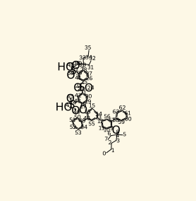 CCCCC(C)(CC)Oc1ccc(-c2ccc(Oc3ccc(S(=O)(=O)c4ccc(C(C)(CC)CCC)c(S(=O)(=O)O)c4)cc3S(=O)(=O)O)c(-c3ccccc3)c2)cc1-c1ccccc1